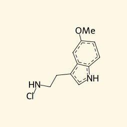 COc1ccc2[nH]cc(CCNCl)c2c1